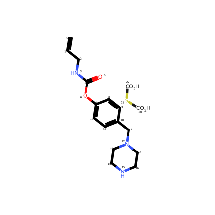 C=CCNC(=O)Oc1ccc(CN2CCNCC2)cc1.O=C(O)SC(=O)O